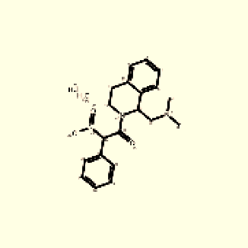 CN(C)CC1c2ccccc2CCN1C(=O)C(c1ccccc1)[N+](=O)[O-].Cl.O